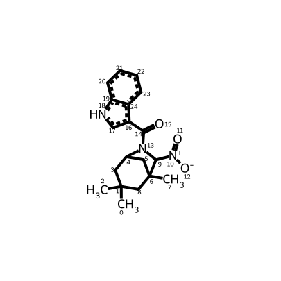 CC1(C)CC2CC(C)(C1)C([N+](=O)[O-])N2C(=O)c1c[nH]c2ccccc12